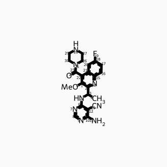 COc1c(C(C)Nc2ncnc(N)c2C#N)nc2ccc(F)cc2c1C(=O)N1CCNCC1